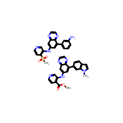 CCCCOC(=O)c1ccncc1Nc1cc(-c2ccc3ccn(C)c3c2)c2nccnc2c1.CS(=O)(=O)c1ccncc1Nc1cc(-c2cccc(N)c2)c2nccnc2c1